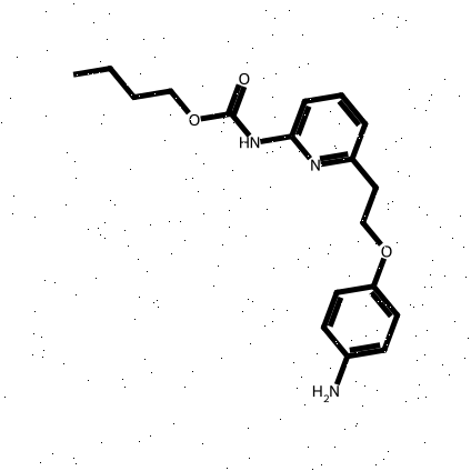 CCCCOC(=O)Nc1cccc(CCOc2ccc(N)cc2)n1